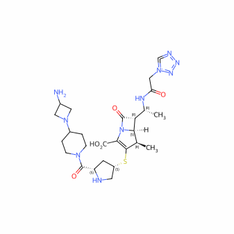 C[C@@H](NC(=O)Cn1cnnn1)[C@H]1C(=O)N2C(C(=O)O)=C(S[C@@H]3CN[C@H](C(=O)N4CCC(N5CC(N)C5)CC4)C3)[C@H](C)[C@H]12